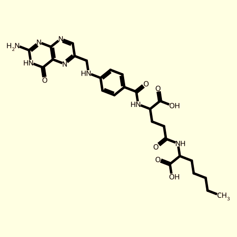 CCCCCC(NC(=O)CCC(NC(=O)c1ccc(NCc2cnc3nc(N)[nH]c(=O)c3n2)cc1)C(=O)O)C(=O)O